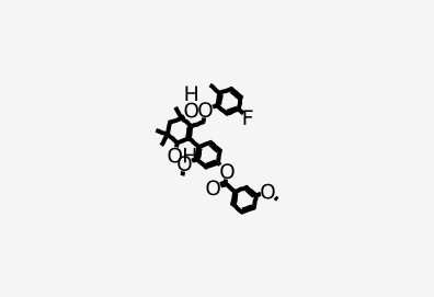 COc1cccc(C(=O)Oc2ccc(C3=C(COc4cc(F)ccc4C)C(C)(O)CC(C)(C)C3O)c(OC)c2)c1